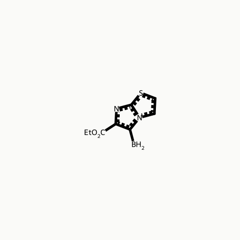 Bc1c(C(=O)OCC)nc2sccn12